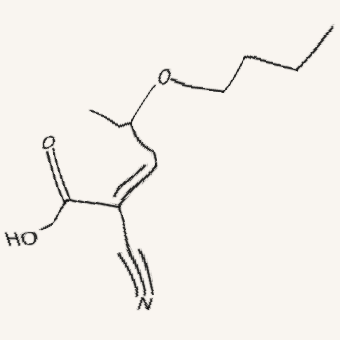 CCCCOC(C)C=C(C#N)C(=O)O